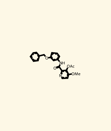 COc1ccnc(C(=O)Nc2cccc(OCc3ccccc3)c2)c1OC(C)=O